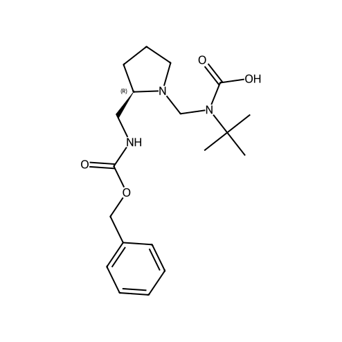 CC(C)(C)N(CN1CCC[C@@H]1CNC(=O)OCc1ccccc1)C(=O)O